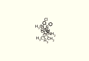 C=CC[C@H](C(N)=O)[C@@H](CC(C)C)C(=O)N[C@@H]1N=C(c2ccccc2)c2cc(Cl)ccc2N(C)C1=O